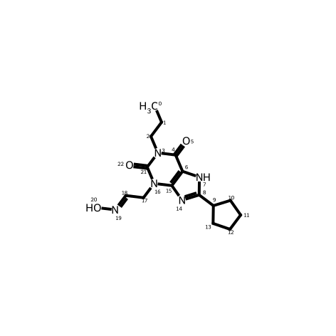 CCCn1c(=O)c2[nH]c(C3CCCC3)nc2n(CC=NO)c1=O